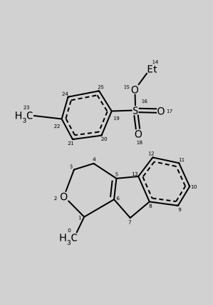 CC1OCCC2=C1Cc1ccccc12.CCOS(=O)(=O)c1ccc(C)cc1